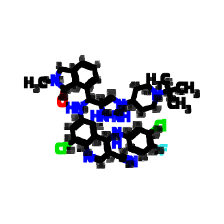 CN1Cc2cccc([C@H](Nc3cc(Cl)c4ncc(C#N)c(Nc5ccc(F)c(Cl)c5)c4c3)C3=CN(C4CCN(C(C)(C)C)CC4)NN3)c2C1=O